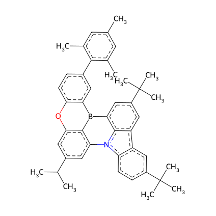 Cc1cc(C)c(-c2ccc3c(c2)B2c4c(cc(C(C)C)cc4-n4c5ccc(C(C)(C)C)cc5c5cc(C(C)(C)C)cc2c54)O3)c(C)c1